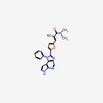 CN(C)C(=O)/C(C#N)=C/c1ccc(-c2nc3cnc4[nH]ccc4c3n2-c2ccccc2)o1